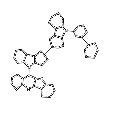 c1ccc(-c2cccc(-n3c4ccccc4c4cc(-c5ccc6c(c5)c5ccccc5n6-c5c6ccccc6nc6c5oc5ccccc56)ccc43)c2)cc1